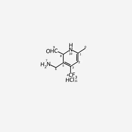 CC1=CC(C(F)(F)F)=C(CN)C(C=O)N1.Cl